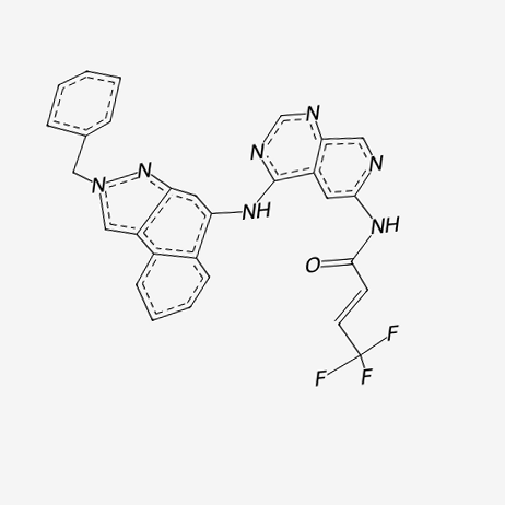 O=C(C=CC(F)(F)F)Nc1cc2c(Nc3cc4nn(Cc5ccccc5)cc4c4ccccc34)ncnc2cn1